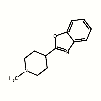 CN1CCC(c2nc3ccccc3o2)CC1